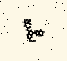 COc1ccc2c(c1)C(c1cc3cccnc3[nH]1)CN2CC(=O)NC1CONC1=O